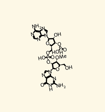 CO[C@H]1[C@@H](OP(=O)(O)OC[C@H]2O[C@@H](n3cnc4c(N)ncnc43)[C@H](O)[C@@H]2O[PH](=O)O)[C@H](n2cnc3c(=O)[nH]c(N)nc32)O[C@@H]1CO